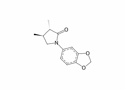 C[C@@H]1CN(c2ccc3c(c2)OCO3)C(=O)[C@H]1C